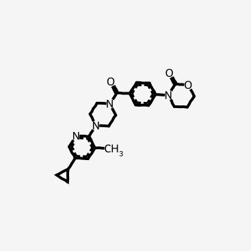 Cc1cc(C2CC2)cnc1N1CCN(C(=O)c2ccc(N3CCCOC3=O)cc2)CC1